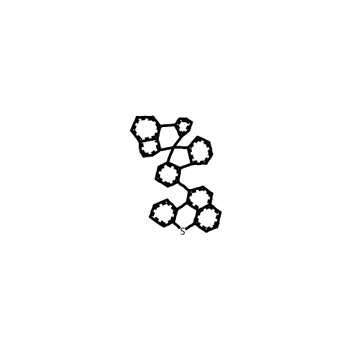 c1ccc2c(c1)Sc1cccc3ccc(-c4cccc5c4-c4ccccc4C54c5ccccc5-c5cccc6cccc4c56)c-2c13